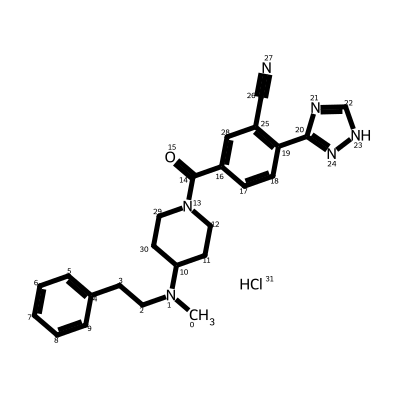 CN(CCc1ccccc1)C1CCN(C(=O)c2ccc(-c3nc[nH]n3)c(C#N)c2)CC1.Cl